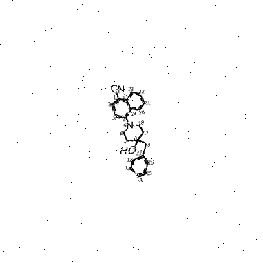 N#Cc1ccc(N2CCC(O)(Cc3ccccc3)CC2)c2ccccc12